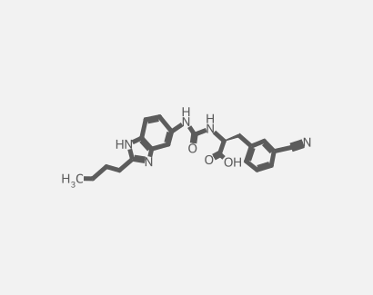 CCCCc1nc2cc(NC(=O)N[C@@H](Cc3cccc(C#N)c3)C(=O)O)ccc2[nH]1